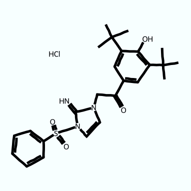 CC(C)(C)c1cc(C(=O)Cn2ccn(S(=O)(=O)c3ccccc3)c2=N)cc(C(C)(C)C)c1O.Cl